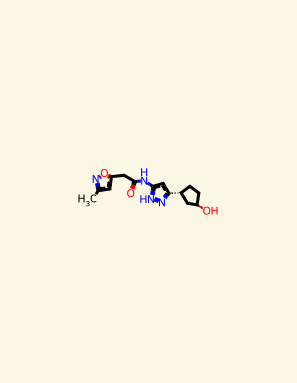 Cc1cc(CC(=O)Nc2cc([C@@H]3CC[C@@H](O)C3)n[nH]2)on1